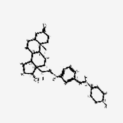 C[C@]12CCC(=O)CC1CCC1C2CC[C@@]2(CCOc3cccc(CN[C@H]4CC[C@@H](C)CC4)c3)C1CC[C@@H]2O